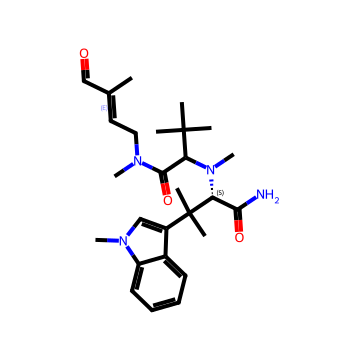 C/C(C=O)=C\CN(C)C(=O)C(N(C)[C@H](C(N)=O)C(C)(C)c1cn(C)c2ccccc12)C(C)(C)C